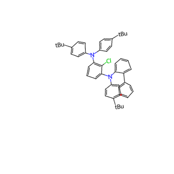 CC(C)(C)c1ccc(N(c2ccc(C(C)(C)C)cc2)c2cccc(N(c3ccc(C(C)(C)C)cc3)c3ccccc3-c3ccccc3)c2Cl)cc1